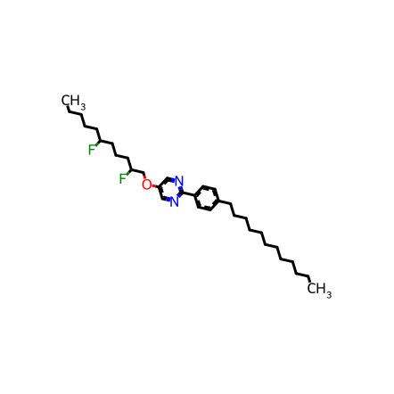 CCCCCCCCCCCCc1ccc(-c2ncc(OCC(F)CCCC(F)CCCCC)cn2)cc1